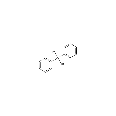 CC(C)S(c1ccccc1)(c1ccccc1)C(C)(C)C